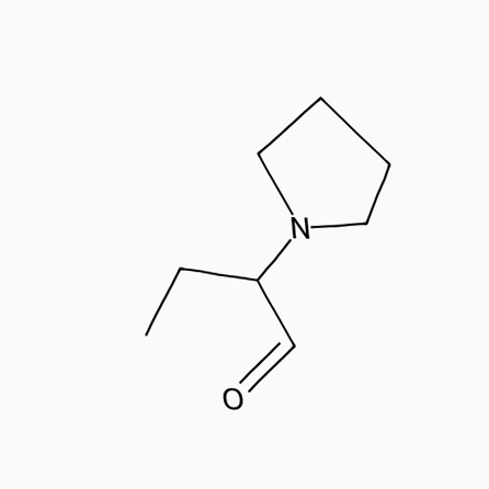 CCC(C=O)N1CCCC1